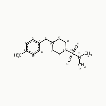 Cc1ccc(CN2CCN(S(=O)(=O)N(C)C)CC2)cc1